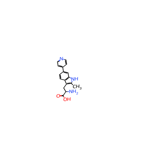 Cc1[nH]c2cc(-c3ccncc3)ccc2c1CC(N)C(=O)O